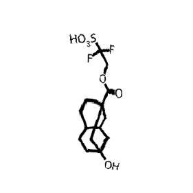 O=C(OCC(F)(F)S(=O)(=O)O)C12CCC3CCC(O)(CC3C1)C2